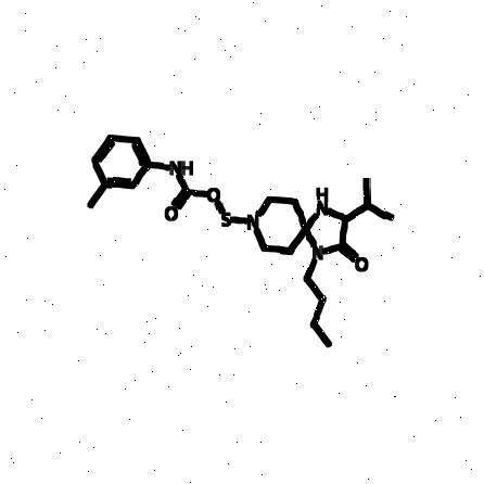 CCCCN1C(=O)C(C(C)C)NC12CCN(SOC(=O)Nc1cccc(C)c1)CC2